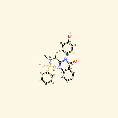 CC(c1nc2ccccc2c(=O)n1-c1ccc(Br)cc1)N(C)S(=O)(=O)c1ccccc1